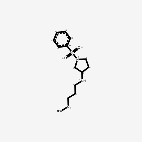 CC(C)(C)OCCCNC1CCN(S(=O)(=O)c2ccccc2)C1